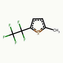 Cc1ccc(C(F)(F)C(F)(F)F)s1